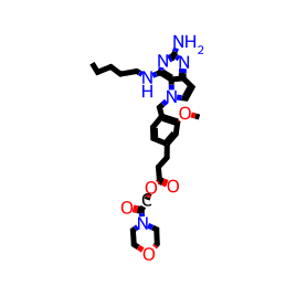 CCCCCNc1nc(N)nc2ccn(Cc3ccc(CCC(=O)OCC(=O)N4CCOCC4)cc3OC)c12